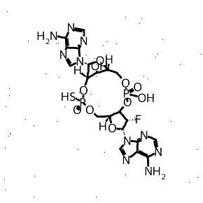 Nc1ncnc2c1ncn2[C@@H]1O[C@@H]2COP(=O)(S)O[C@H]3C(O)[C@@H](COP(=O)(O)OC2[C@@H]1F)O[C@H]3n1cnc2c(N)ncnc21